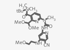 COCCNc1cc(NC(=O)N(C)c2ccc(C(=O)[Si](C)(C)C(C)(C)C)c(C(OC)OC)n2)ncc1C#N